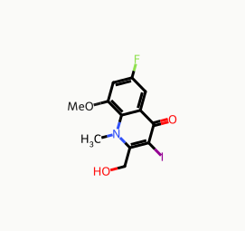 COc1cc(F)cc2c(=O)c(I)c(CO)n(C)c12